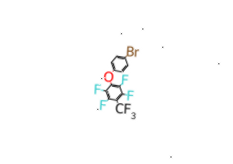 Fc1c(F)c(C(F)(F)F)c(F)c(F)c1Oc1ccc(Br)cc1